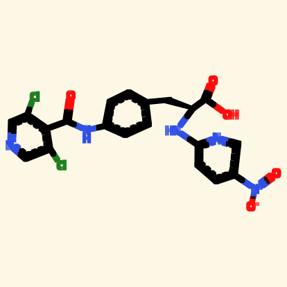 O=C(Nc1ccc(C[C@H](Nc2ccc([N+](=O)[O-])cn2)C(=O)O)cc1)c1c(Cl)cncc1Cl